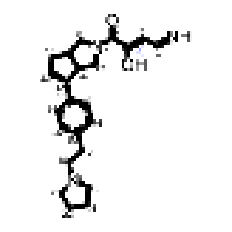 N=C/C=C(\O)C(=O)N1CC2CC=C(c3ccc(CCN4CCCC4)cc3)C2C1